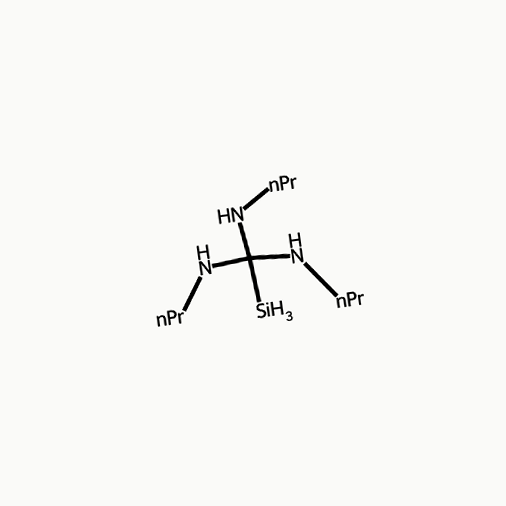 CCCNC([SiH3])(NCCC)NCCC